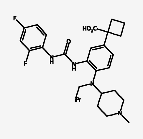 CC(C)CN(c1ccc(C2(C(=O)O)CCC2)cc1NC(=O)Nc1ccc(F)cc1F)C1CCN(C)CC1